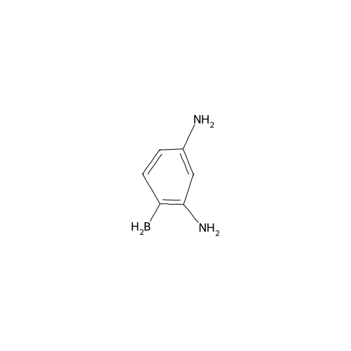 Bc1ccc(N)cc1N